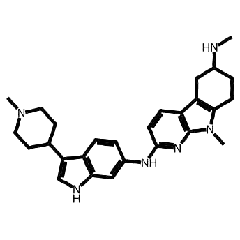 CNC1CCc2c(c3ccc(Nc4ccc5c(C6CCN(C)CC6)c[nH]c5c4)nc3n2C)C1